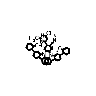 Cc1cc(-c2cc(-n3c4ccccc4c4ccc(-c5ccccc5C)cc43)c(-n3c4ccccc4c4ccc(-c5ccccc5C)cc43)cc2C#N)nc(C)n1